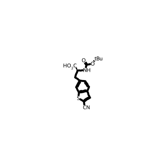 CC(C)(C)OC(=O)N[C@@H](Cc1ccc2cc(C#N)sc2c1)C(=O)O